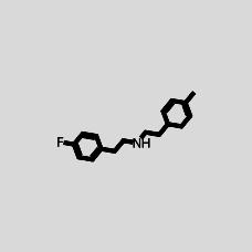 CC1=CCC(CCNCCc2ccc(F)cc2)C=C1